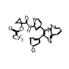 O=C(OC1(C(=O)Nc2cc(-c3c(-c4cccc(Cl)c4)nc4cccnn34)ccn2)CC1)C(F)(F)F